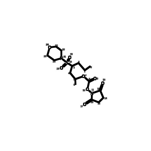 CCCC(CC(C)OC(=O)ON1C(=O)CCC1=O)S(=O)(=O)N1CCOCC1